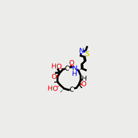 CC1=NC/C(=C\C=C(/C)[C@@H]2C[C@@H]3O[C@]3(C)CCC[C@H](C)[C@H](O)[C@@H](C)C(=O)C(C)(C)[C@@H](O)CC(=O)N2)S1